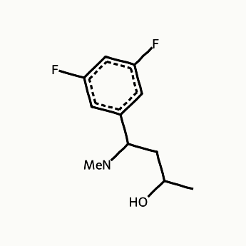 CNC(CC(C)O)c1cc(F)cc(F)c1